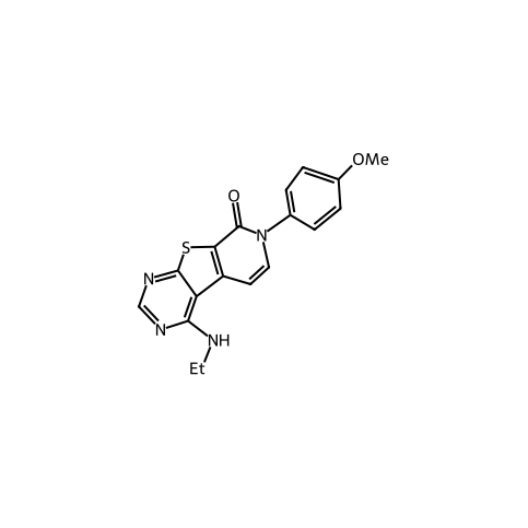 CCNc1ncnc2sc3c(=O)n(-c4ccc(OC)cc4)ccc3c12